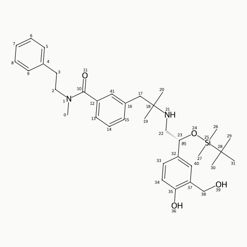 CN(CCc1ccccc1)C(=O)c1cccc(CC(C)(C)NC[C@H](O[Si](C)(C)C(C)(C)C)c2ccc(O)c(CO)c2)c1